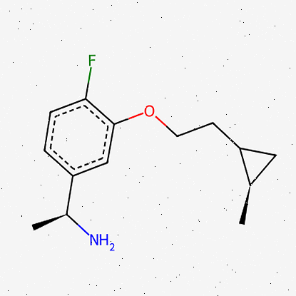 C[C@H](N)c1ccc(F)c(OCCC2C[C@H]2C)c1